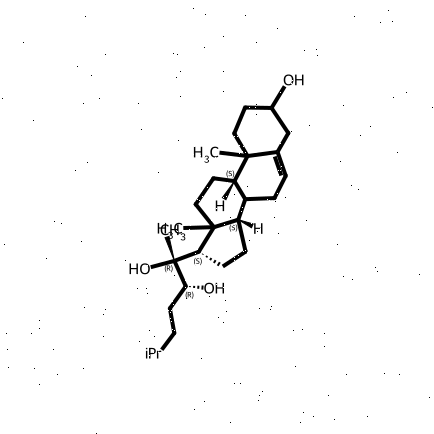 CC(C)CC[C@@H](O)[C@](C)(O)[C@H]1CC[C@H]2C3CC=C4CC(O)CCC4(C)[C@H]3CCC21C